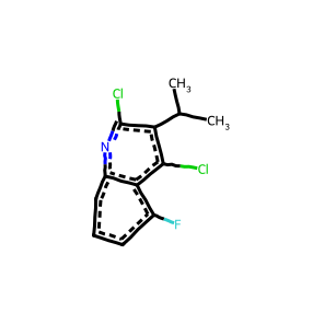 CC(C)c1c(Cl)nc2cccc(F)c2c1Cl